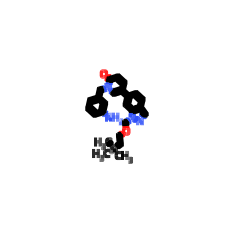 C[Si](C)(C)CCOCn1ncc2ccc(-c3ccc(=O)n(Cc4cccc(N)c4)c3)cc21